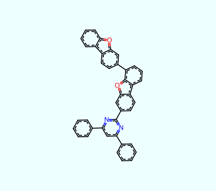 c1ccc(-c2cc(-c3ccccc3)nc(-c3ccc4c(c3)oc3c(-c5ccc6c(c5)oc5ccccc56)cccc34)n2)cc1